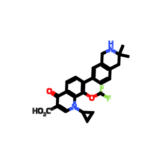 CC1(C)Cc2ccc(-c3ccc4c(=O)c(C(=O)O)cn(C5CC5)c4c3OC(F)F)cc2CN1